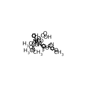 CC(=O)O.COc1ccc2c(Oc3ccc(NC(=O)c4c(C)n(CC(C)OC(=O)CN(C)C)n(-c5ccccc5)c4=O)cc3F)ccnc2c1